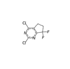 FC1(F)CCc2c(Cl)nc(Cl)nc21